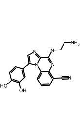 N#Cc1cccc2c1nc(NCCN)c1ncc(-c3ccc(O)c(O)c3)n12